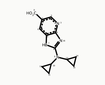 O=C(O)c1cnc2c(c1)BC(N(C1CC1)C1CC1)=N2